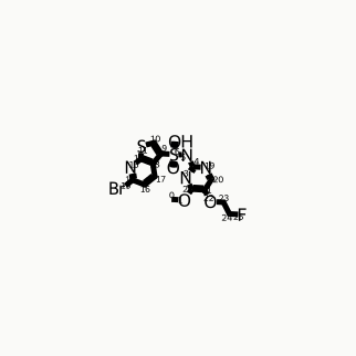 COc1nc(NS(=O)(=O)c2csc3nc(Br)ccc23)ncc1OCCF